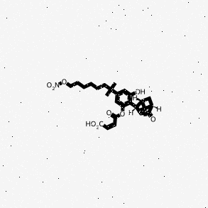 CC(C)(CCCCCCO[N+](=O)[O-])c1cc(O)c([C@@H]2CC(=O)[C@@H]3C[C@@H]2C3(C)C)c(OC(=O)/C=C\C(=O)O)c1